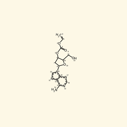 C=COC(=O)OC1CC(n2cnc3c(N)ncnc32)OC1CO